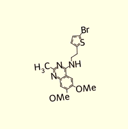 COc1cc2nc(C)nc(NCCc3ccc(Br)s3)c2cc1OC